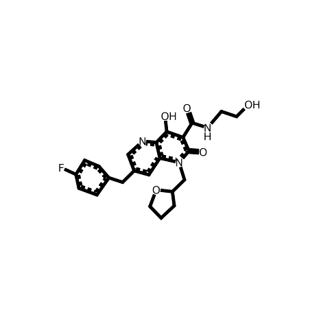 O=C(NCCO)c1c(O)c2ncc(Cc3ccc(F)cc3)cc2n(CC2CCCO2)c1=O